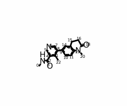 CNC(=O)c1cncc(-c2ccc3c(c2)CCC(=O)N3C)c1C